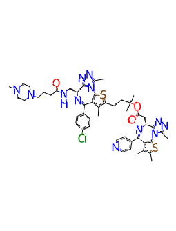 Cc1sc2c(c1C)C(c1ccncc1)=N[C@@H](CC(=O)OC(C)(C)CCc1sc3c(c1C)C(c1ccc(Cl)cc1)=N[C@@H](CNC(=O)CCCN1CCN(C)CC1)c1nnc(C)n1-3)c1nnc(C)n1-2